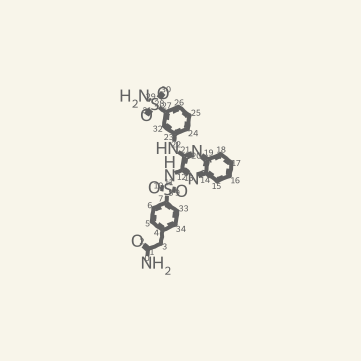 NC(=O)Cc1ccc(S(=O)(=O)Nc2nc3ccccc3nc2Nc2cccc(S(N)(=O)=O)c2)cc1